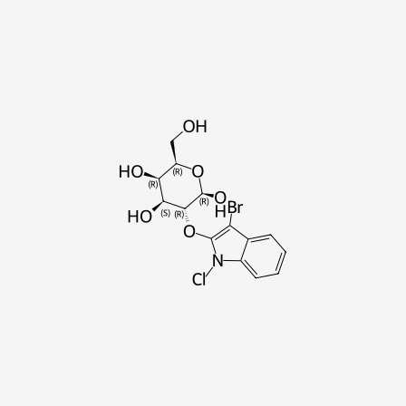 OC[C@H]1O[C@@H](O)[C@H](Oc2c(Br)c3ccccc3n2Cl)[C@@H](O)[C@H]1O